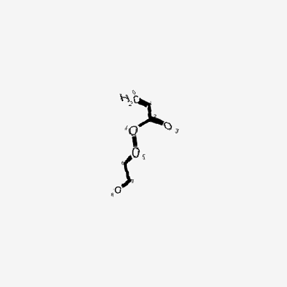 C=CC(=O)OOCC[O]